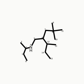 CCC(C)NCC(CC(C)(C)C)C(C)CC